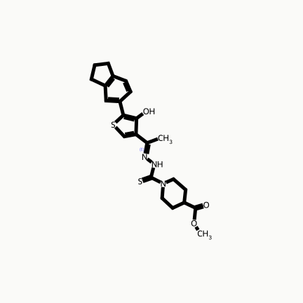 COC(=O)C1CCN(C(=S)N/N=C(\C)c2csc(-c3ccc4c(c3)CCC4)c2O)CC1